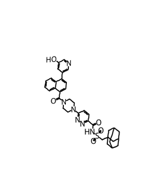 O=C(NS(=O)(=O)CC12CC3CC(CC(C3)C1)C2)c1ccc(N2CCN(C(=O)c3ccc(-c4cncc(O)c4)c4ccccc34)CC2)nn1